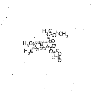 CCOC(C)OC(=O)C1C2CC(C1C(=O)OC1COC(=O)C1)C1C3CC(C(C)C3C)C21